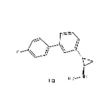 CN[C@@H]1C[C@H]1c1cccc(-c2ccc(Cl)cc2)c1.Cl